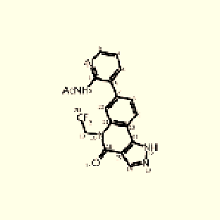 CC(=O)Nc1ncccc1-c1ccc2c3[nH]ncc3c(=O)n(CC(F)(F)F)c2c1